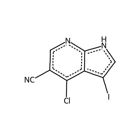 N#Cc1cnc2[nH]cc(I)c2c1Cl